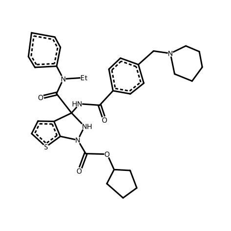 CCN(C(=O)C1(NC(=O)c2ccc(CN3CCCCC3)cc2)NN(C(=O)OC2CCCC2)c2sccc21)c1ccccc1